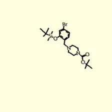 CC(C)(C)OC(=O)N1CCN(Cc2ccc(Br)cc2O[Si](C)(C)C(C)(C)C)CC1